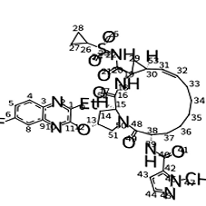 CCc1nc2ccc(F)cc2nc1O[C@@H]1C[C@H]2C(=O)N[C@]3(C(=O)NS(=O)(=O)C4CC4)C[C@H]3/C=C\CCCCC[C@H](NC(=O)c3ccnn3C)C(=O)N2C1